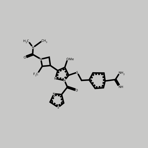 COc1c(C2CN(C(=O)N(C)C)C2C(F)(F)F)nn(C(=O)c2cscn2)c1SCc1ccc(C(=N)N)cc1